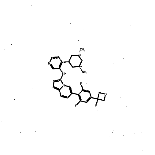 C[C@@H]1C[C@H](N)CN(c2ccncc2Nc2ncc3ccc(-c4c(F)cc(C5(F)COC5)cc4F)nn23)C1